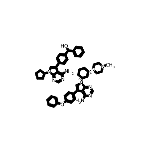 CN1CCN([C@H]2CCC[C@H](n3cc(-c4ccc(Oc5ccccc5)cc4)c4c(N)ncnc43)C2)CC1.Nc1ncnc2c1c(-c1ccc(C(O)c3ccccc3)cc1)cn2C1CCCC1